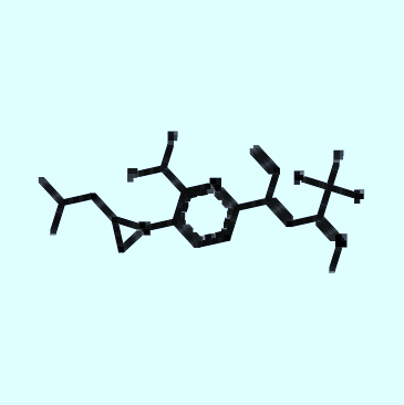 C=C/C(=C\C(=N/C)C(F)(F)F)c1ccc(N2CC2CC(C)C)c(C(F)F)n1